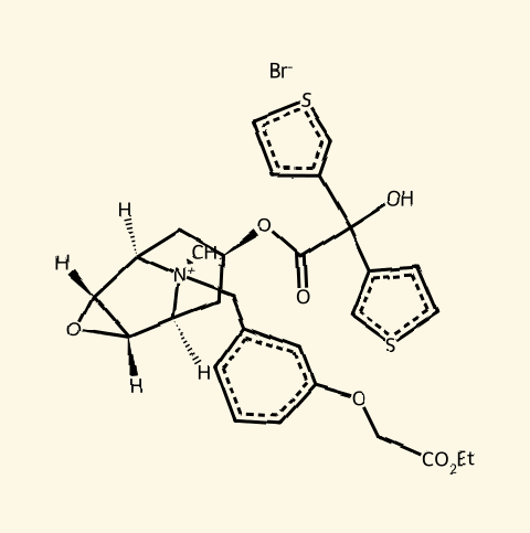 CCOC(=O)COc1cccc(C[N@+]2(C)[C@@H]3C[C@@H](OC(=O)C(O)(c4ccsc4)c4ccsc4)C[C@H]2[C@@H]2O[C@@H]23)c1.[Br-]